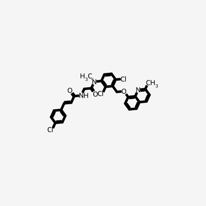 Cc1ccc2cccc(OCc3c(Cl)ccc(N(C)C(=O)CNC(=O)C=Cc4ccc(Cl)cc4)c3Cl)c2n1